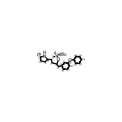 CC(C)(C)[Si](C)(C)OC(CCC1CCC(=O)N1)Cc1cccc(Oc2ccccc2)c1